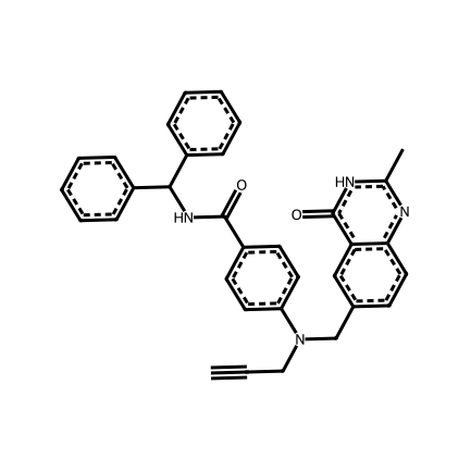 C#CCN(Cc1ccc2nc(C)[nH]c(=O)c2c1)c1ccc(C(=O)NC(c2ccccc2)c2ccccc2)cc1